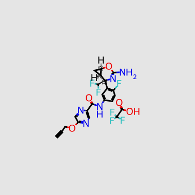 C#CCOc1cnc(C(=O)Nc2ccc(F)c([C@@]3(C(F)F)N=C(N)O[C@@H]4C[C@@H]43)c2)cn1.O=C(O)C(F)(F)F